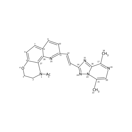 CC(=O)N1CCOc2ccc3ccc(C=Cc4nc5c(C)ncc(C)n5n4)nc3c21